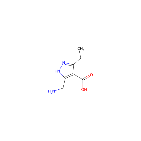 CCc1n[nH]c(CN)c1C(=O)O